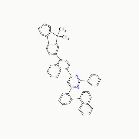 CC1(C)c2ccccc2-c2ccc(-c3ccc(-c4cc(-c5ccccc5-c5cccc6ccccc56)nc(-c5ccccc5)n4)c4ccccc34)cc21